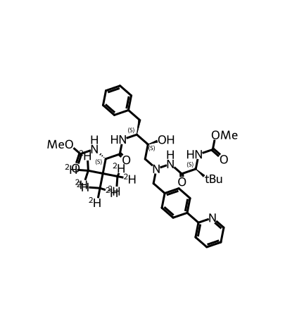 [2H]C([2H])([2H])C([C@H](NC(=O)OC)C(=O)N[C@@H](Cc1ccccc1)[C@@H](O)CN(Cc1ccc(-c2ccccn2)cc1)NC(=O)[C@@H](NC(=O)OC)C(C)(C)C)(C([2H])([2H])[2H])C([2H])([2H])[2H]